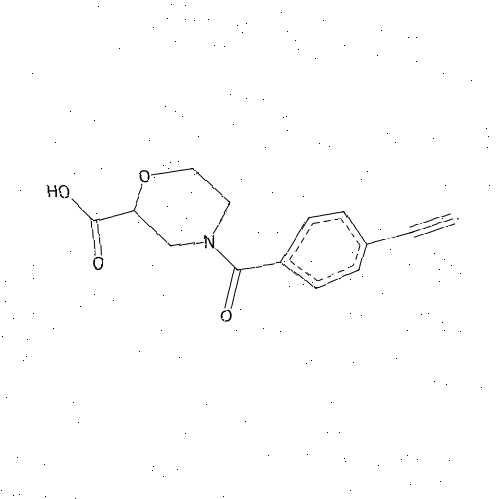 [C]#Cc1ccc(C(=O)N2CCOC(C(=O)O)C2)cc1